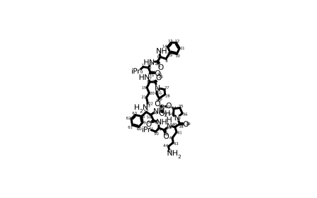 CC(C)CC(NC(=O)C(N)Cc1ccccc1)C(=O)NC(CCCCN)C(=O)N1CC[C@H](OB(O)O[C@H]2CCN(C(=O)C(CCCCN)NC(=O)C(CC(C)C)NC(=O)C(N)Cc3ccccc3)C2)C1